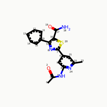 CC(=O)Nc1cc(-c2nc(-c3ccccc3)c(C(N)=O)s2)cc(C)n1